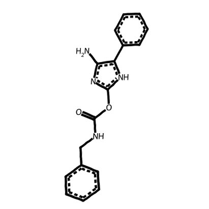 Nc1nc(OC(=O)NCc2ccccc2)[nH]c1-c1ccccc1